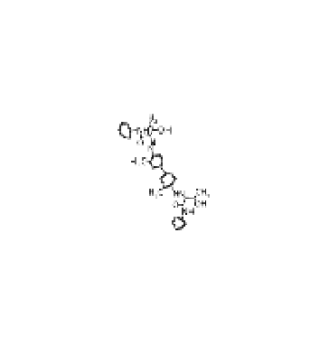 C/C(O)=C(\N=N\c1ccc(-c2ccc(/N=N/C(C(=O)Nc3ccccc3)C(C)O)c(C)c2)cc1C)C(=O)Nc1ccccc1